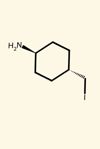 N[C@H]1CC[C@H](CI)CC1